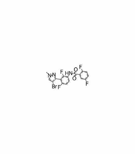 Cn1cc(Br)c(-c2c(F)ccc(NS(=O)(=O)c3cc(F)ccc3F)c2F)n1